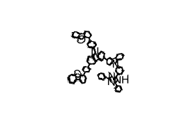 c1ccc(C2=NC(c3ccccc3)NC(c3cccc(-n4c5ccccc5c5cc(-c6ccc7c(c6)c6cc(-c8ccc(-c9cccc%10c9oc9ccccc9%10)cc8)ccc6n7-c6ccc(-c7cccc8c7oc7ccccc78)cc6)ccc54)c3)=N2)cc1